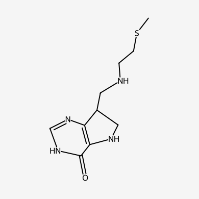 CSCCNCC1CNc2c1nc[nH]c2=O